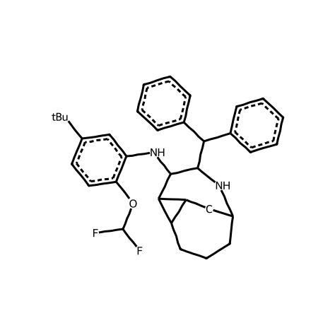 CC(C)(C)c1ccc(OC(F)F)c(NC2C(C(c3ccccc3)c3ccccc3)NC3CCCC4C(C3)C42)c1